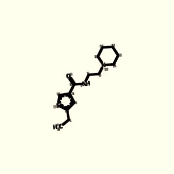 CCc1cc(C(=O)NCCN2CCCCC2)cs1